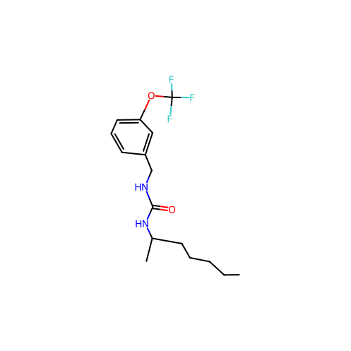 CCCCCC(C)NC(=O)NCc1cccc(OC(F)(F)F)c1